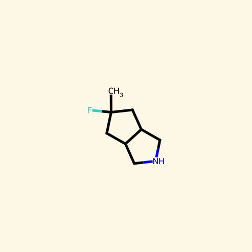 CC1(F)CC2CNCC2C1